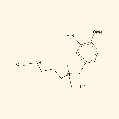 COc1ccc(C[N+](C)(C)CCCNC=O)cc1N.[Cl-]